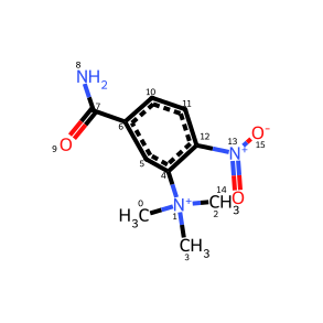 C[N+](C)(C)c1cc(C(N)=O)ccc1[N+](=O)[O-]